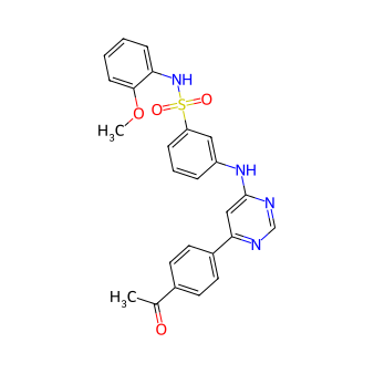 COc1ccccc1NS(=O)(=O)c1cccc(Nc2cc(-c3ccc(C(C)=O)cc3)ncn2)c1